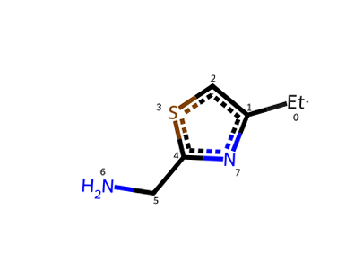 C[CH]c1csc(CN)n1